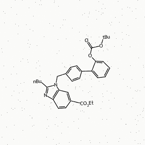 CCCCc1nc2ccc(C(=O)OCC)cc2n1Cc1ccc(-c2ccccc2OC(=O)OC(C)(C)C)cc1